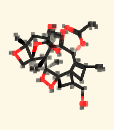 CC(=O)O[C@H]1C(=O)[C@]2(C)[C@@H](O)C[C@H]3OC[C@@]3(OC(C)=O)[C@@]2(C)[C@@H]2OO[C@]23CC(CO)C32CC(C)=C12